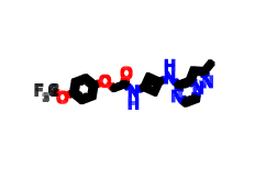 Cc1cc2c(NC34CC(NC(=O)COc5ccc(OC(F)(F)F)cc5)(C3)C4)nccn2n1